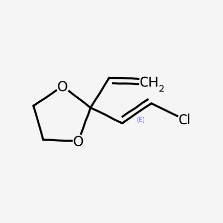 C=CC1(/C=C/Cl)OCCO1